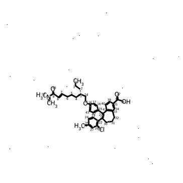 CCC[C@@H](CCC/C=C/C(=O)N(C)C)COc1ccc(C2=C(c3ccc(C)cc3Cl)CCCc3cc(C(=O)O)ccc32)cc1